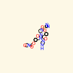 Cn1cc(S(=O)(=O)N2CCCC(n3c(-c4ccccc4)c(C(=O)N4CCNCC4)n(Cc4cccc(OCC(=O)N5CCOCC5)c4)c3=O)C2)cn1